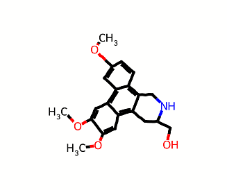 COc1ccc2c3c(c4cc(OC)c(OC)cc4c2c1)CC(CO)NC3